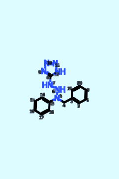 c1ccc(CN(NNc2nnn[nH]2)c2ccccc2)cc1